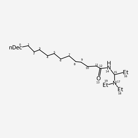 CCCCCCCCCCCCCCCCCCCCCC(=O)NC(CC)N(CC)CC